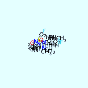 [2H]c1c([2H])c(-c2c([2H])c([2H])c(C(F)(F)F)c(C)c2[2H])c([2H])c([2H])c1CN(CCN(CC)CC)C(=O)Cn1c(SCc2ccc(F)cc2)nc(=O)c2c1C([2H])([2H])C([2H])([2H])C2([2H])[2H]